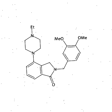 CCN1CCN(c2cccc3c2CN(Cc2ccc(OC)c(OC)c2)C3=O)CC1